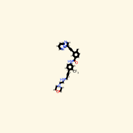 Cc1ccc(C(=O)Nc2ccc(C#CCNCCN3CCOCC3)c(C(F)(F)F)c2)cc1C#Cc1cnc2cccnn12